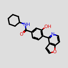 O=C(NC1CCCCC1)c1ccc(-c2nccc3occc23)c(O)c1